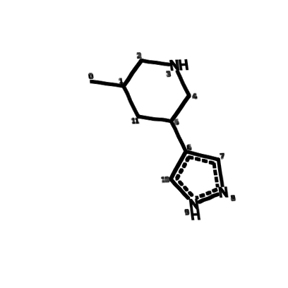 CC1CNCC(c2cn[nH]c2)C1